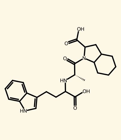 C[C@H](NC(CCc1c[nH]c2ccccc12)C(=O)O)C(=O)N1C(C(=O)O)CC2CCCCC21